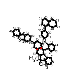 CC1(C)c2ccccc2-c2c(-c3ccccc3N(c3ccc(-c4cccc5ccccc45)cc3)c3cccc(-c4ccc5c(c4)sc4ccccc45)c3)cccc21